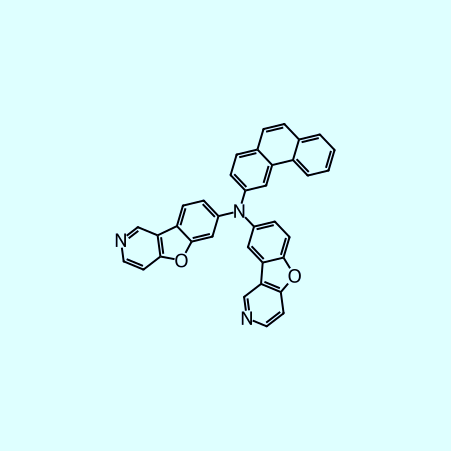 c1ccc2c(c1)ccc1ccc(N(c3ccc4c(c3)oc3ccncc34)c3ccc4oc5ccncc5c4c3)cc12